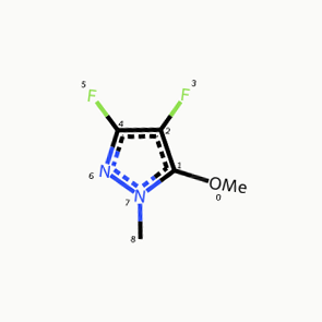 COc1c(F)c(F)nn1C